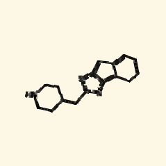 C1=CCC2=c3nc(CC4CCNCC4)sc3=CC2=C1